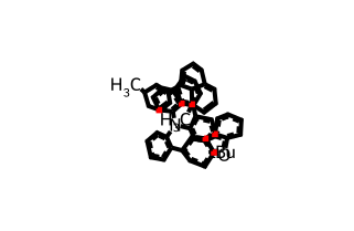 CC1C=C(C2=CC=CC3=CC=CC(C)(c4ccccc4N(c4ccccc4-c4ccc5oc6ccccc6c5c4)c4cc(C(C)(C)C)ccc4-c4ccccc4)C32)C=CC1